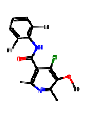 CCOc1c(C)nc(C)c(C(=O)Nc2c(CC)cccc2CC)c1Cl